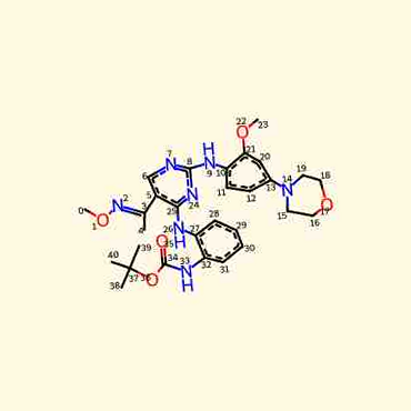 CO/N=C(\C)c1cnc(Nc2ccc(N3CCOCC3)cc2OC)nc1Nc1ccccc1NC(=O)OC(C)(C)C